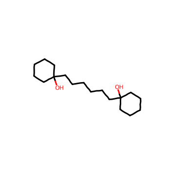 OC1(CCCCCCC2(O)CCCCC2)CCCCC1